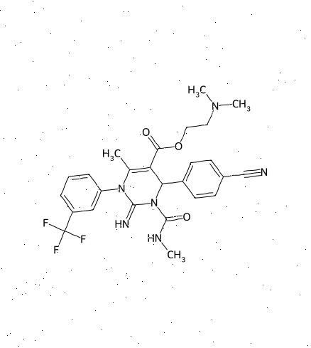 CNC(=O)N1C(=N)N(c2cccc(C(F)(F)F)c2)C(C)=C(C(=O)OCCN(C)C)C1c1ccc(C#N)cc1